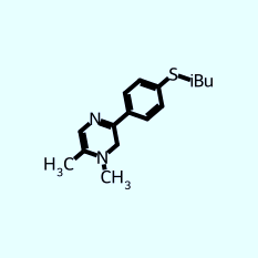 CCC(C)Sc1ccc(C2=NC=C(C)N(C)C2)cc1